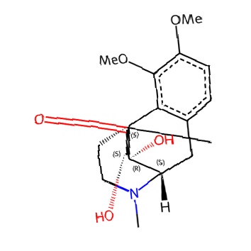 COc1ccc2c(c1OC)[C@@]13CCN(C)[C@@H](C2)[C@@]1(O)[C@@H](O)CC(=O)C3